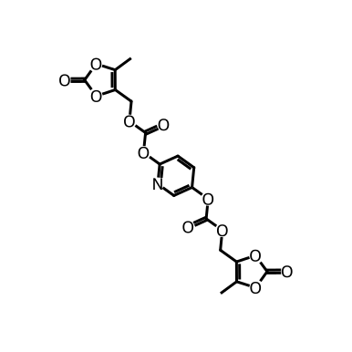 Cc1oc(=O)oc1COC(=O)Oc1ccc(OC(=O)OCc2oc(=O)oc2C)nc1